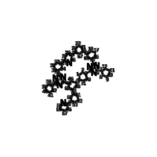 c1ccc(-c2nc(-c3ccccc3)nc(-c3cccc(-c4cccc(-c5ccc(-c6cccc(-c7nc(-c8ccccc8)nc(-c8cccc(-c9cccc(-c%10ccccn%10)c9)c8)n7)c6)nc5)c4)c3)n2)cc1